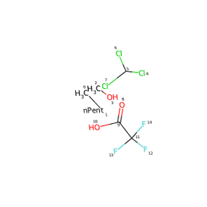 CCCCCC.CO.ClC(Cl)Cl.O=C(O)C(F)(F)F